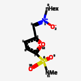 CCCCCC[N+]([O-])=Cc1ccc(S(=O)(=O)NC)o1